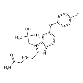 CC(C)(O)Cn1c(CNCC(N)=O)nc2ccc(Oc3ccc(F)cc3)cc21